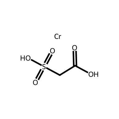 O=C(O)CS(=O)(=O)O.[Cr]